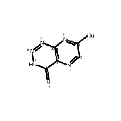 CCC(C)c1cnc2c(=O)[nH]nnc2n1